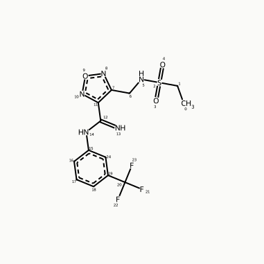 CCS(=O)(=O)NCc1nonc1C(=N)Nc1cccc(C(F)(F)F)c1